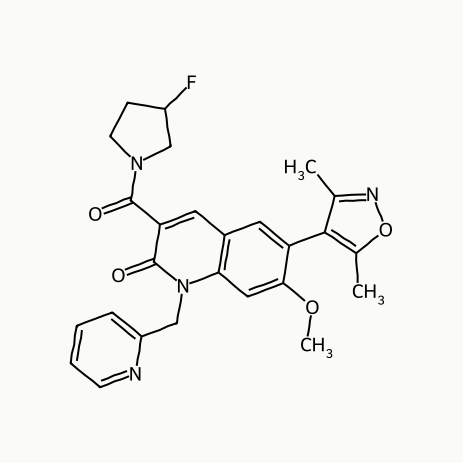 COc1cc2c(cc1-c1c(C)noc1C)cc(C(=O)N1CCC(F)C1)c(=O)n2Cc1ccccn1